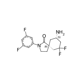 N[C@@H]1CC(F)(F)C[C@@]2(CCN(c3cc(F)cc(F)c3)C2=O)C1